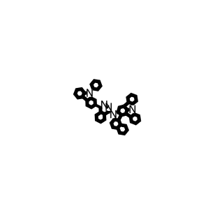 c1ccc(-n2c3ccccc3c3ccc(-c4nnc(-n5c6ccc7ccccc7c6c6c7c8ccccc8n8c9ccccc9c(cc65)c78)c5ccccc45)cc32)cc1